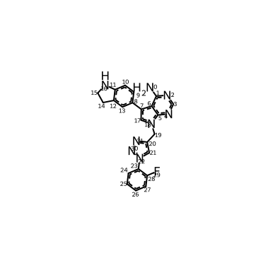 Nc1ncnc2c1c(-c1ccc3c(c1)CCN3)cn2Cc1cn(-c2ccccc2F)nn1